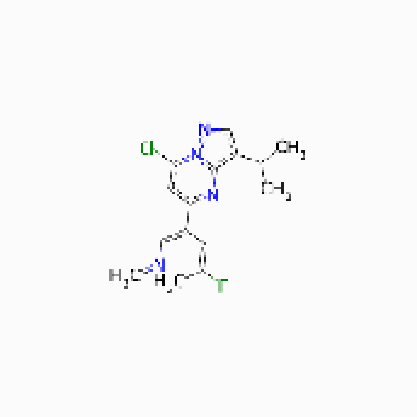 C=N/C=C(\C=C(/C)F)c1cc(Cl)n2ncc(C(C)C)c2n1